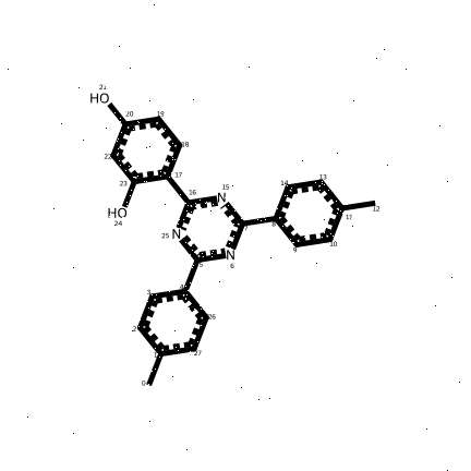 Cc1ccc(-c2nc(-c3ccc(C)cc3)nc(-c3ccc(O)cc3O)n2)cc1